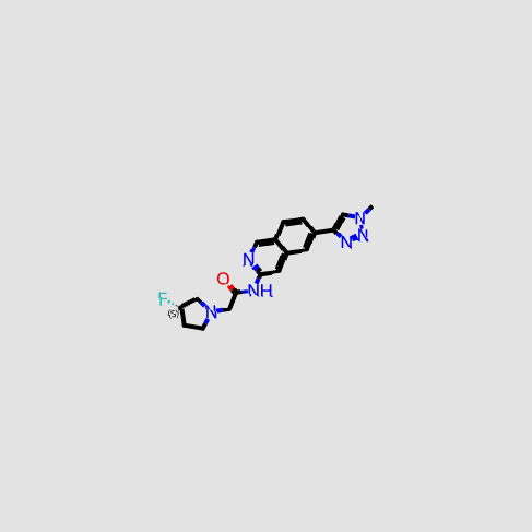 Cn1cc(-c2ccc3cnc(NC(=O)CN4CC[C@H](F)C4)cc3c2)nn1